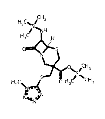 Cn1nnnc1SCC1(C(=O)O[Si](C)(C)C)CS[C@@H]2C(N[Si](C)(C)C)C(=O)N2C1